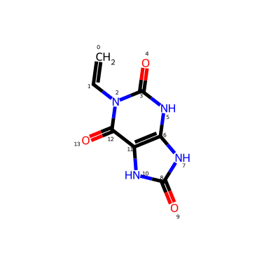 C=Cn1c(=O)[nH]c2[nH]c(=O)[nH]c2c1=O